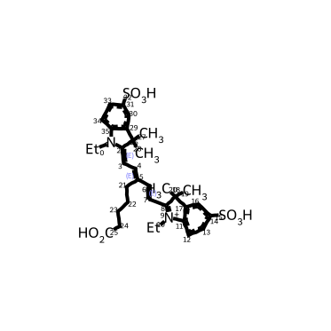 CCN1/C(=C/C=C(/C=C/C2=[N+](CC)c3ccc(S(=O)(=O)O)cc3C2(C)C)CCCCC(=O)O)C(C)(C)c2cc(S(=O)(=O)O)ccc21